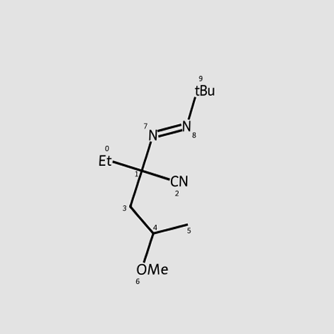 CCC(C#N)(CC(C)OC)N=NC(C)(C)C